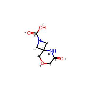 O=C1COCC2(CN(C(=O)O)C2)N1